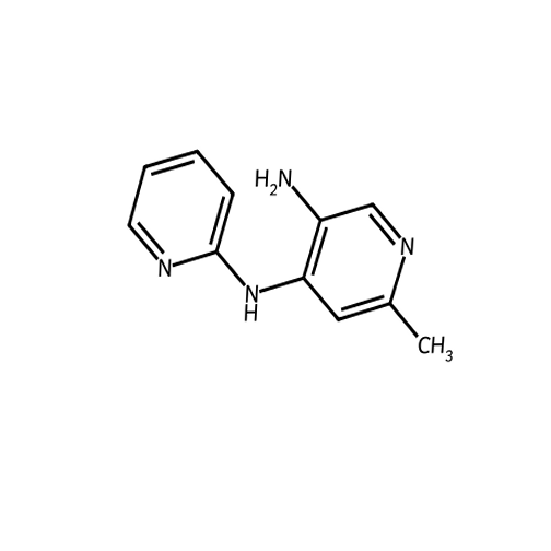 Cc1cc(Nc2ccccn2)c(N)cn1